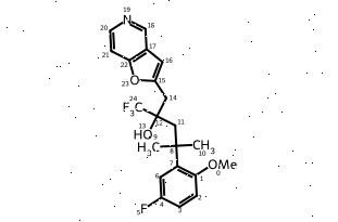 COc1ccc(F)cc1C(C)(C)CC(O)(Cc1cc2cnccc2o1)C(F)(F)F